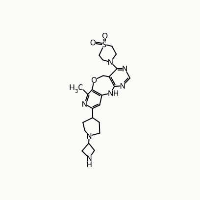 Cc1nc(C2CCN(C3CNC3)CC2)cc2c1OCc1c(ncnc1N1CCS(=O)(=O)CC1)N2